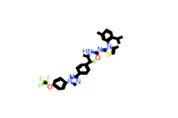 Cc1ccc(C(C)C)c(-n2c(C)cs/c2=N\C(=O)NC(C)C(F)c2ccc(-c3ncn(-c4ccc(OC(F)(F)F)cc4)n3)cc2)c1